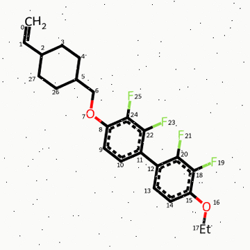 C=CC1CCC(COc2ccc(-c3ccc(OCC)c(F)c3F)c(F)c2F)CC1